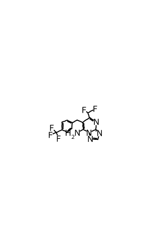 Nc1c(Cc2ccc(C(F)(F)F)cc2)c(C(F)F)nc2ncnn12